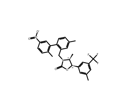 Cc1cc([C@H]2OC(=O)N(Cc3cc(C)ccc3-c3cc([N+](=O)[O-])ccc3C)[C@H]2C)cc(C(F)(F)F)c1